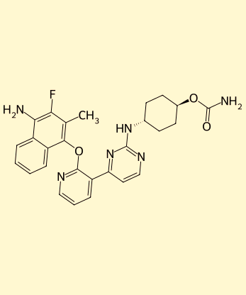 Cc1c(F)c(N)c2ccccc2c1Oc1ncccc1-c1ccnc(N[C@H]2CC[C@H](OC(N)=O)CC2)n1